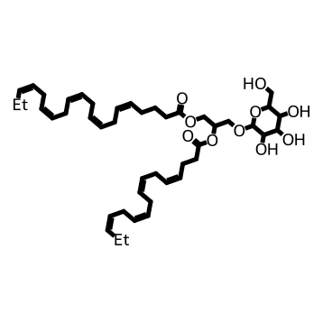 CC/C=C\C/C=C\C/C=C\C/C=C\C/C=C\CCCC(=O)OCC(COC1OC(CO)C(O)C(O)C1O)OC(=O)CC/C=C\C/C=C\C/C=C\C/C=C\CC